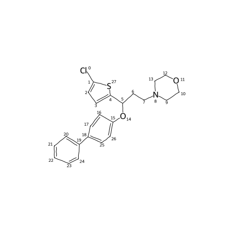 Clc1ccc(C(CCN2CCOCC2)Oc2ccc(-c3ccccc3)cc2)s1